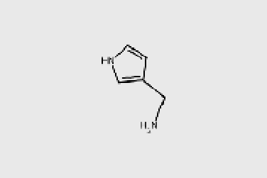 NCc1cc[nH]c1